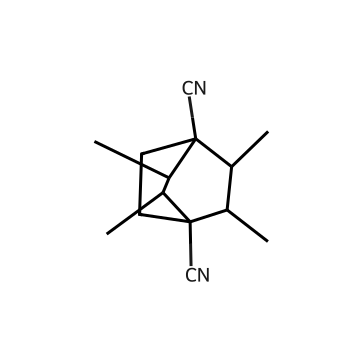 CC1C(C)C2(C#N)CCC1(C#N)C(C)C2C